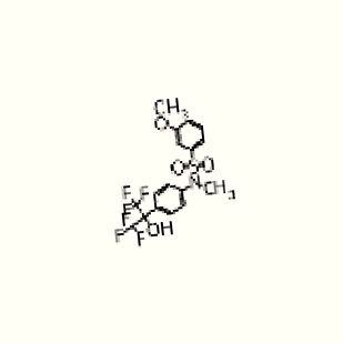 COc1cccc(S(=O)(=O)N(C)c2ccc(C(O)(C(F)(F)F)C(F)(F)F)cc2)c1